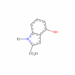 CCOC(=O)c1cc2c(O)cccc2n1CC